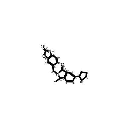 CC1c2ccc(C3CCCC3)cc2C(=O)N1Cc1ccc2[nH]c(=O)oc2c1